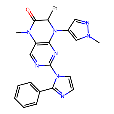 CCC1C(=O)N(C)c2cnc(-n3ccnc3-c3ccccc3)nc2N1c1cnn(C)c1